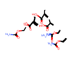 C=C(C)C(=O)O.C=C(C)C(=O)O.C=C(C)C(=O)O.CCOC(N)=O.CCOC(N)=O.CCOC(N)=O